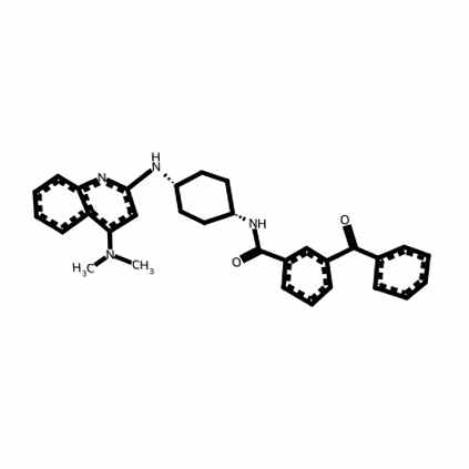 CN(C)c1cc(N[C@H]2CC[C@@H](NC(=O)c3cccc(C(=O)c4ccccc4)c3)CC2)nc2ccccc12